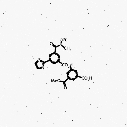 CCCN(C)C(=O)c1cc(C(=O)O)cc(-c2nccs2)c1.COC(=O)c1cc(I)cc(C(=O)O)c1